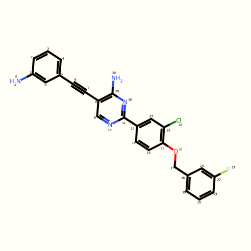 Nc1cccc(C#Cc2cnc(-c3ccc(OCc4cccc(F)c4)c(Cl)c3)nc2N)c1